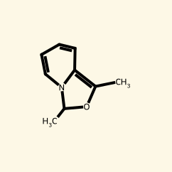 CC1=C2C=CC=CN2C(C)O1